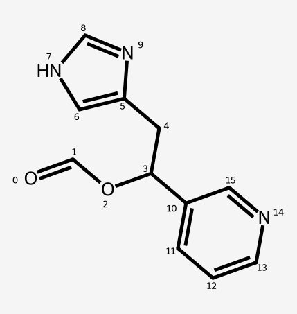 O=COC(Cc1c[nH]cn1)c1cccnc1